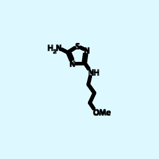 COCCCNc1nsc(N)n1